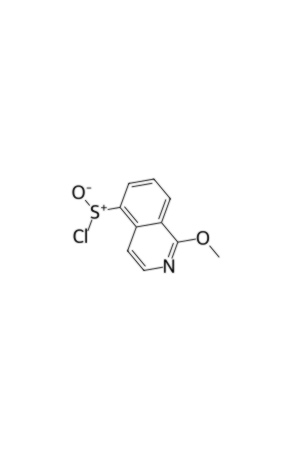 COc1nccc2c([S+]([O-])Cl)cccc12